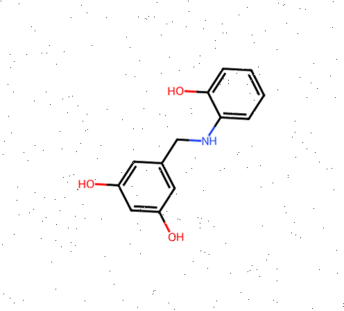 Oc1cc(O)cc(CNc2ccccc2O)c1